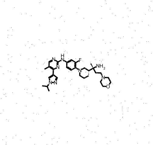 Cc1cnc(Nc2ccc(N3CCC[C@@H]([C@](C)(N)CCN4CCOCC4)C3)c(F)c2)nc1-c1cnn(C(C)C)c1